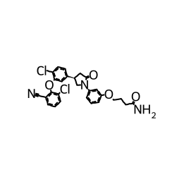 N#Cc1cccc(Cl)c1Oc1cc([C@H]2CC(=O)N(c3cccc(OCCCC(N)=O)c3)C2)ccc1Cl